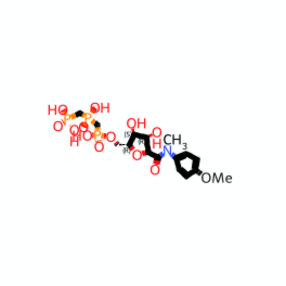 COc1ccc(N(C)C(=O)C2O[C@H](COP(=O)(O)CP(=O)(O)CP(=O)(O)O)[C@@H](O)[C@H]2O)cc1